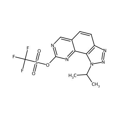 CC(C)n1nnc2ccc3cnc(OS(=O)(=O)C(F)(F)F)nc3c21